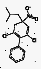 CC(C)CC1([N+](=O)[O-])C=C(Cl)C(c2ccccc2)=C(Cl)C1